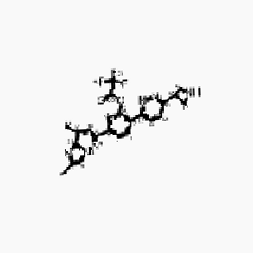 Cc1cn2nc(-c3ccc(-c4ccc(C5CNC5)nn4)c(OC(=O)C(F)(F)F)c3)cc(C)c2n1